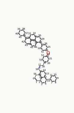 C1=Cc2ccc(-c3ccccc3)c3ccc(/C=C\Cc4ccc(Oc5ccc(-c6ccc7ccc8c(-c9ccccc9)ccc9ccc6c7c98)cc5)cc4)c(c23)C1